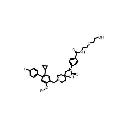 CCOc1cc(-c2ccc(F)cc2)c(C2CC2)cc1CN1CCC2(CC1)CN(c1ccc(C(=O)NCCOCCO)cc1)C(=O)N2